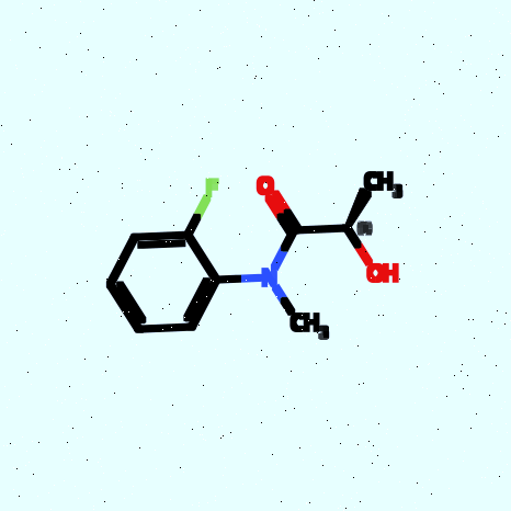 C[C@@H](O)C(=O)N(C)c1ccccc1F